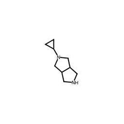 C1NCC2CN(C3CC3)CC12